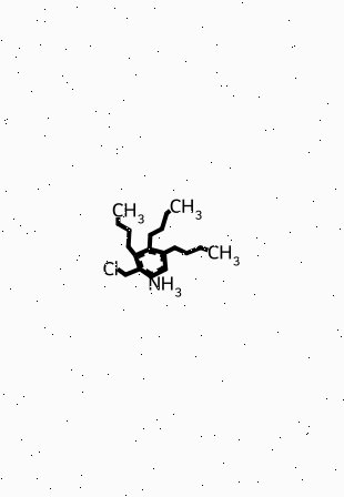 CCCCc1ccc(CCl)c(CCCC)c1CCCC.N